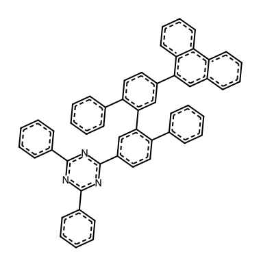 c1ccc(-c2nc(-c3ccccc3)nc(-c3ccc(-c4ccccc4)c(-c4cc(-c5cc6ccccc6c6ccccc56)ccc4-c4ccccc4)c3)n2)cc1